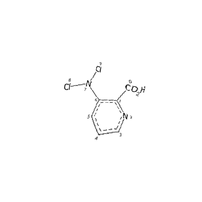 O=C(O)c1ncccc1N(Cl)Cl